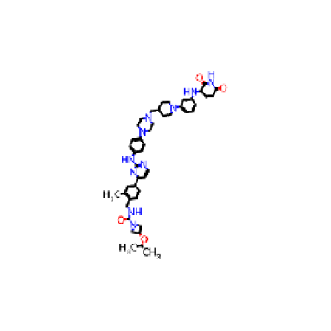 Cc1cc(-c2ccnc(Nc3ccc(N4CCN(CC5CCN(c6cccc(NC7CCC(=O)NC7=O)c6)CC5)CC4)cc3)n2)ccc1CNC(=O)N1CC(OC(C)C)C1